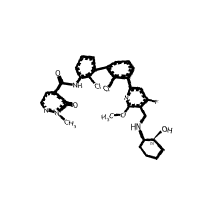 COc1nc(-c2cccc(-c3cccc(NC(=O)c4ccnn(C)c4=O)c3Cl)c2Cl)cc(F)c1CNC1CCCC[C@@H]1O